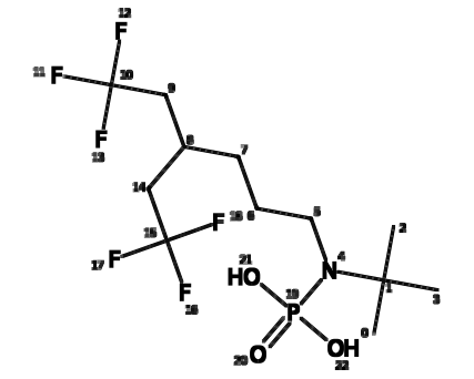 CC(C)(C)N(CCCC(CC(F)(F)F)CC(F)(F)F)P(=O)(O)O